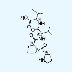 CC(C)[C@H](NC(=O)[C@@H](NC(=O)[C@@H]1CCCN1C(=O)[C@@H]1CCCN1)C(C)C)C(=O)O